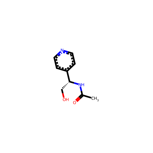 CC(=O)N[C@H](CO)c1ccncc1